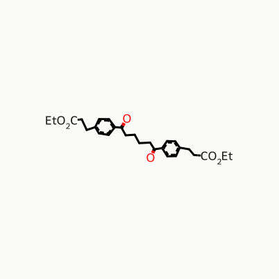 CCOC(=O)CCc1ccc(C(=O)CCCCC(=O)c2ccc(CCC(=O)OCC)cc2)cc1